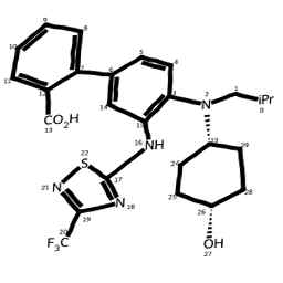 CC(C)CN(c1ccc(-c2ccccc2C(=O)O)cc1Nc1nc(C(F)(F)F)ns1)[C@H]1CC[C@@H](O)CC1